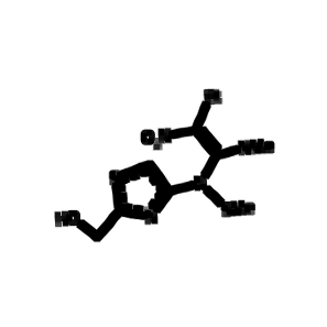 CCC(=C(NC)N(SC)c1csc(CO)n1)[N+](=O)[O-]